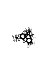 [2H]C([2H])([2H])Oc1ccc2c3c1OC1C(=O)C([2H])([2H])C[C@]4(O)[C@@]31CCN(C([2H])([2H])[2H])[C@]4([2H])C2([2H])[2H]